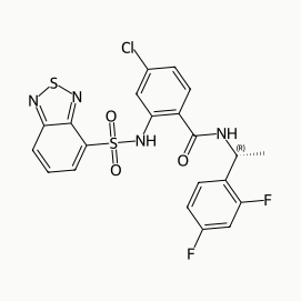 C[C@@H](NC(=O)c1ccc(Cl)cc1NS(=O)(=O)c1cccc2nsnc12)c1ccc(F)cc1F